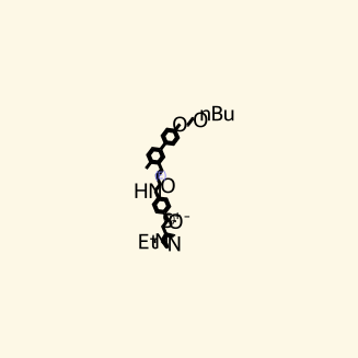 CCCCOCCOc1ccc(-c2ccc(C)c(/C=C/C(=O)Nc3ccc([S@@+]([O-])Cc4cncn4CC)cc3)c2)cc1